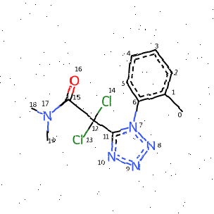 Cc1ccccc1-n1nnnc1C(Cl)(Cl)C(=O)N(C)C